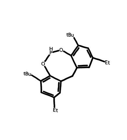 CCc1cc2c(c(C(C)(C)C)c1)OPOc1c(cc(CC)cc1C(C)(C)C)C2